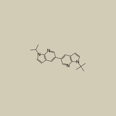 CC(C)n1ccc2cc(-c3cnc4c(ccn4C(C)(C)C)c3)cnc21